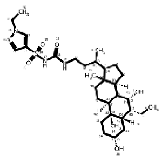 CC[C@H]1[C@@H](O)C2[C@@H]3CC[C@H]([C@H](C)CCNC(=O)NS(=O)(=O)c4cnn(CC)c4)C3(C)CC[C@@H]2[C@@]2(C)CC[C@@H](O)C[C@@H]12